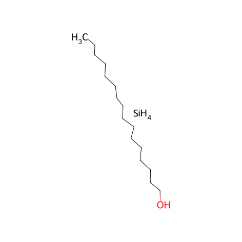 CCCCCCCCCCCCCCCCO.[SiH4]